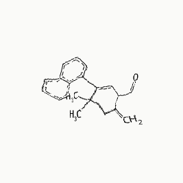 C=C1CC(C)(C)C(c2cccc3ccccc23)=CC1C=O